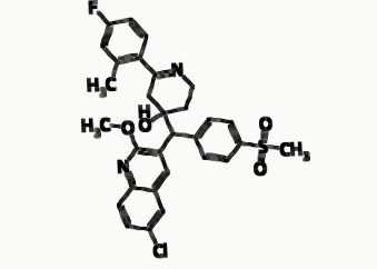 COc1nc2ccc(Cl)cc2cc1C(c1ccc(S(C)(=O)=O)cc1)C1(O)CCN=C(c2ccc(F)cc2C)C1